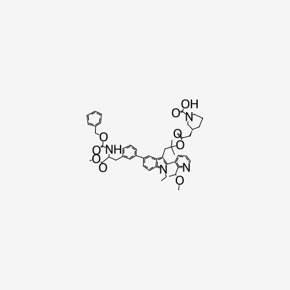 CCn1c(-c2cccnc2C(C)OC)c(CC(C)(C)OC(=O)C[C@@H]2CCCN(C(=O)O)C2)c2cc(-c3cccc(CC(NC(=O)OCc4ccccc4)C(=O)OC)c3)ccc21